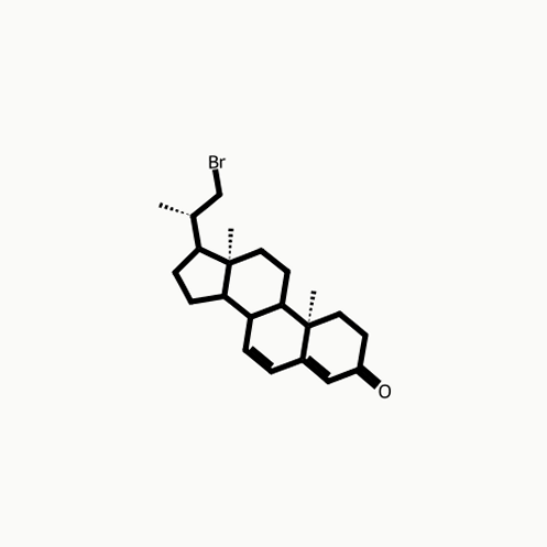 C[C@H](CBr)C1CCC2C3C=CC4=CC(=O)CC[C@]4(C)C3CC[C@@]21C